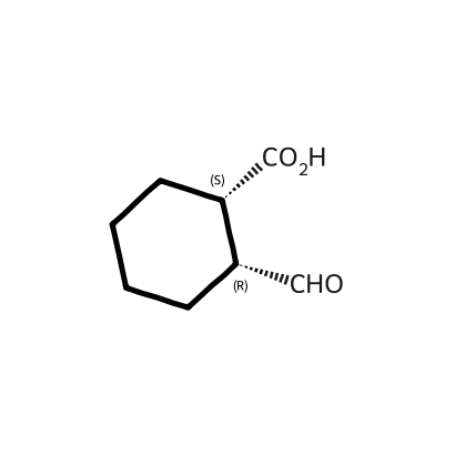 O=C[C@@H]1CCCC[C@@H]1C(=O)O